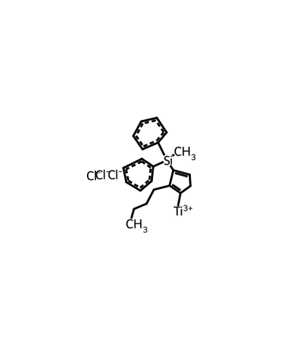 CCCCC1=[C]([Ti+3])CC=C1[Si](C)(c1ccccc1)c1ccccc1.[Cl-].[Cl-].[Cl-]